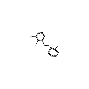 [CH2]c1ccccc1NCc1cccc(Cl)c1Cl